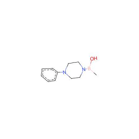 CB(O)N1CCN(c2ccccc2)CC1